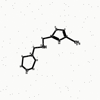 Cc1csc(CNCN2CCOCC2)n1